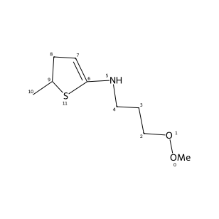 COOCCCNC1=CCC(C)S1